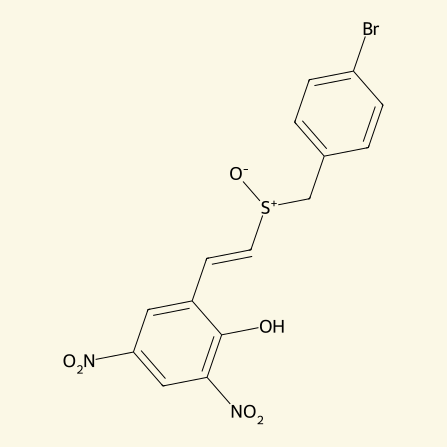 O=[N+]([O-])c1cc(C=C[S+]([O-])Cc2ccc(Br)cc2)c(O)c([N+](=O)[O-])c1